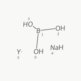 OB(O)O.[NaH].[Y]